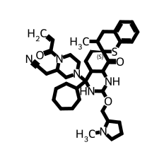 C=CC(=O)N1CCN(C2(C3CCCCCC3)NC(OCC3CCCN3C)NC3C(=O)[C@@]4(CCC32)Sc2ccccc2CC4C)CC1CC#N